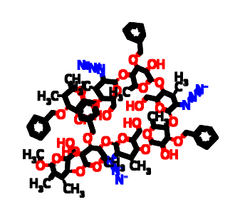 CO[C@H]1OC(CO)[C@@H](O[C@@H]2OC(C)[C@H](O[C@@H]3OC(CO)[C@@H](O[C@@H]4OC(C)[C@H](O[C@@H]5OC(CO)[C@@H](O[C@@H]6OC(C)C(O[C@@H]7OC(CO)[C@@H](O[C@@H]8OC(C)[C@@H](C)[C@@H](OCc9ccccc9)C8O)[C@H](C)C7N=[N+]=[N-])[C@@H](OCc7ccccc7)C6O)[C@H](C)C5N=[N+]=[N-])[C@@H](OCc5ccccc5)C4O)[C@H](C)C3N=[N+]=[N-])[C@@H](OCc3ccccc3)C2O)[C@H](C)C1C